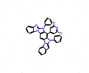 Brc1cc(-c2c3c(cc4c2n(-c2ccccc2)c2nc5ccccc5n42)n2c4ccccc4cc2n3-c2ccccc2)cc(Br)n1